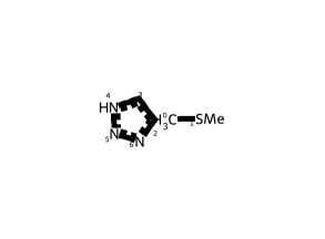 CSC.c1c[nH]nn1